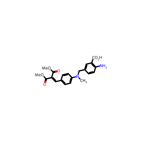 COC(=O)C(=Cc1ccc(N(C)Cc2ccc(N)c(C(=O)O)c2)cc1)C(=O)OC